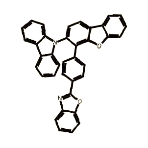 c1ccc2oc(-c3ccc(-c4c(-n5c6ccccc6c6ccccc65)ccc5c4oc4ccccc45)cc3)nc2c1